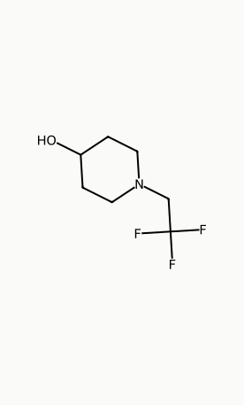 OC1CCN(CC(F)(F)F)CC1